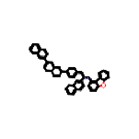 C(=C(\Cc1ccc(-c2ccc3ccc(-c4ccc5ccccc5c4)cc3c2)cc1)c1ccc2ccccc2c1)/c1cccc2oc3ccccc3c12